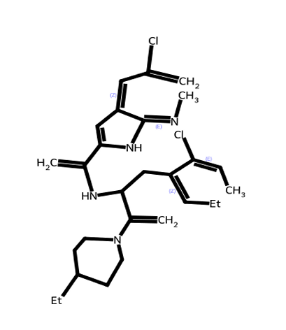 C=C(Cl)/C=C1/C=C(C(=C)NC(CC(=C/CC)/C(Cl)=C\C)C(=C)N2CCC(CC)CC2)N/C1=N/C